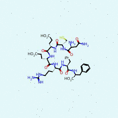 CC(C)C[C@H](NC(=O)[C@H](CCCNC(=N)N)NC(=O)[C@H](CCC(=O)O)NC(=O)[C@H](CCC(=O)O)NC(=O)[C@H](CS)NC(=O)[C@@H](N)CC(N)=O)C(=O)N[C@@H](Cc1ccccc1)C(=O)O